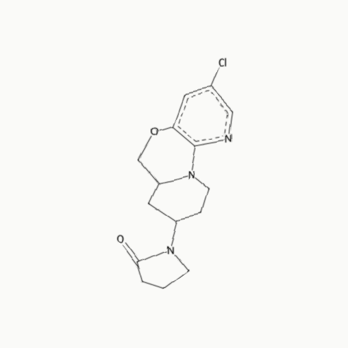 O=C1CCCN1C1CCN2c3ncc(Cl)cc3OCC2C1